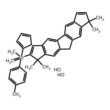 Cl.Cl.[CH2]=[Zr]([CH3])([C]1=CC=CC1)([C]1=Cc2cc3c(cc2C1(C)C)Cc1cc2c(cc1-3)C=CC2(C)C)[c]1ccc(C)cc1